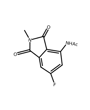 CC(=O)Nc1cc(F)cc2c1C(=O)N(C)C2=O